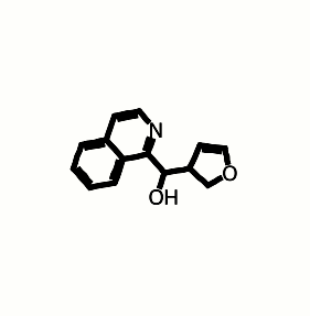 OC(c1nccc2ccccc12)C1C=COC1